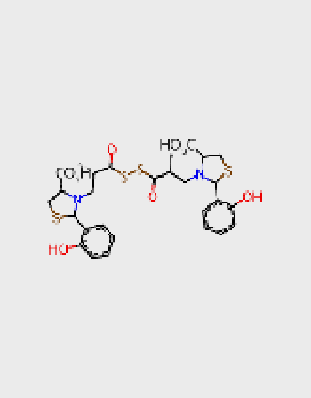 C[C@@H](CN1C(C(=O)O)CSC1c1ccccc1O)C(=O)SSC(=O)[C@@H](C)CN1C(C(=O)O)CSC1c1ccccc1O